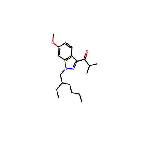 CCCCC(CC)Cn1nc(C(=O)C(C)C)c2ccc(OC)cc21